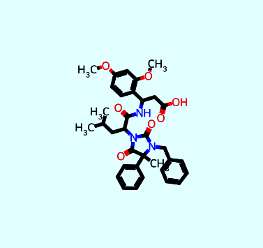 COc1ccc(C(CC(=O)O)NC(=O)C(CC(C)C)N2C(=O)N(Cc3ccccc3)C(C)(c3ccccc3)C2=O)c(OC)c1